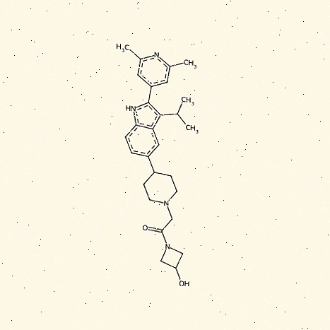 Cc1cc(-c2[nH]c3ccc(C4CCN(CC(=O)N5CC(O)C5)CC4)cc3c2C(C)C)cc(C)n1